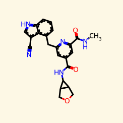 CNC(=O)c1cc(C(=O)NC2C3COCC32)cc(Cc2cccc3[nH]cc(C#N)c23)n1